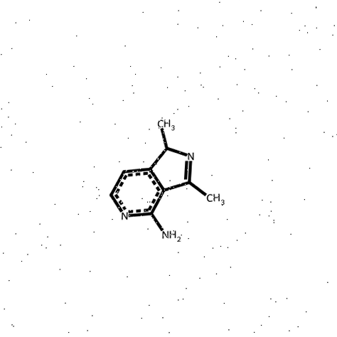 CC1=NC(C)c2ccnc(N)c21